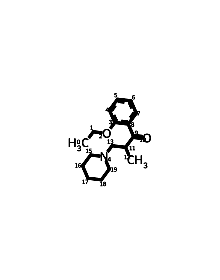 CCOc1ccccc1C(=O)C(C)CN1CCCCC1